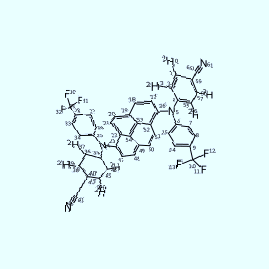 [2H]c1c([2H])c(N(c2ccc(C(F)(F)F)cc2)c2ccc3ccc4c(N(c5ccc(C(F)(F)F)cc5)C5C([2H])C([2H])C(C#N)C([2H])C5[2H])ccc5ccc2c3c54)c([2H])c([2H])c1C#N